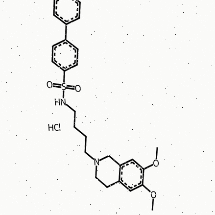 COc1cc2c(cc1OC)CN(CCCCNS(=O)(=O)c1ccc(-c3ccccc3)cc1)CC2.Cl